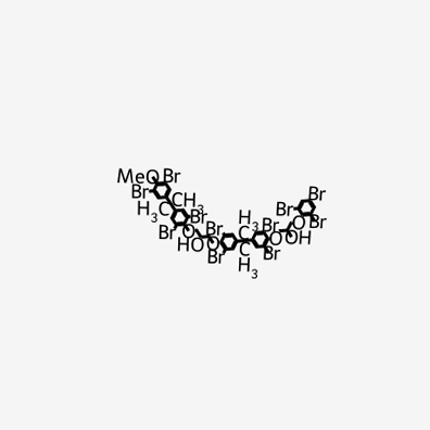 COc1c(Br)cc(C(C)(C)c2cc(Br)c(OCC(O)COc3c(Br)cc(C(C)(C)c4cc(Br)c(OCC(O)COc5c(Br)cc(Br)cc5Br)c(Br)c4)cc3Br)c(Br)c2)cc1Br